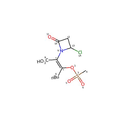 CCCCC(OS(C)(=O)=O)=C(C(=O)O)N1C(=O)CC1Cl